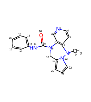 CN1c2ccncc2N(C(=O)Nc2ccccc2)Cc2cccn21